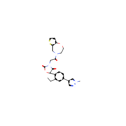 Cn1cc(-c2ccc3c(c2)CC[C@@]32OC(=O)N(CC(=O)N3CCOc4ccsc4C3)C2=O)cn1